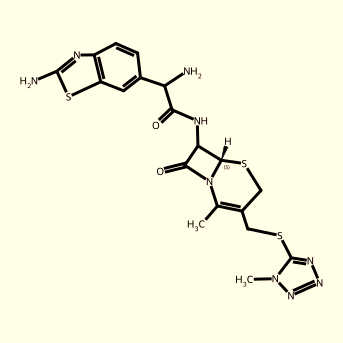 CC1=C(CSc2nnnn2C)CS[C@H]2C(NC(=O)C(N)c3ccc4nc(N)sc4c3)C(=O)N12